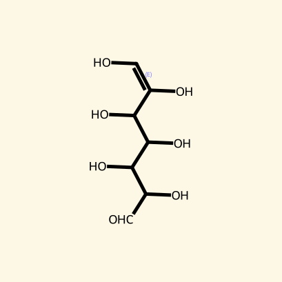 O=CC(O)C(O)C(O)C(O)/C(O)=C\O